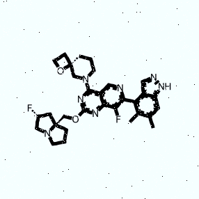 Cc1cc2[nH]ncc2c(-c2ncc3c(N4CCC[C@]5(CCO5)C4)nc(OC[C@@]45CCCN4C[C@H](F)C5)nc3c2F)c1C